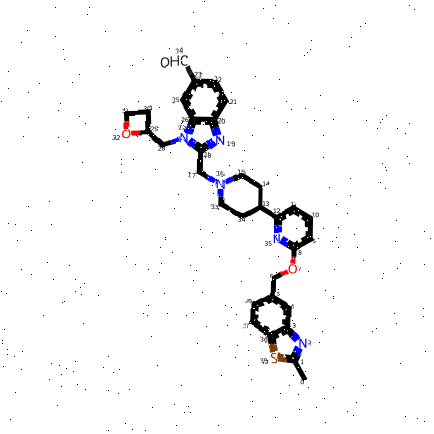 Cc1nc2cc(COc3cccc(C4CCN(Cc5nc6ccc(C=O)cc6n5CC5CCO5)CC4)n3)ccc2s1